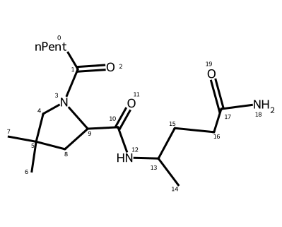 CCCCCC(=O)N1CC(C)(C)CC1C(=O)NC(C)CCC(N)=O